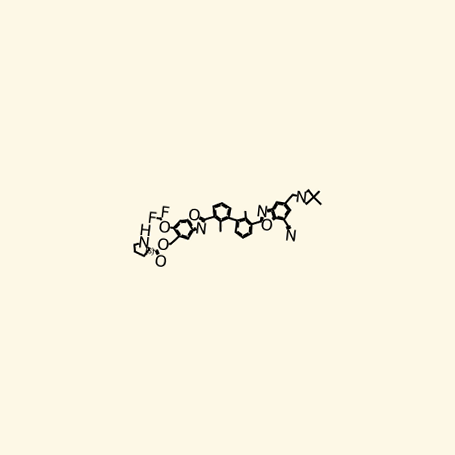 Cc1c(-c2nc3cc(COC(=O)[C@@H]4CCCN4)c(OC(F)F)cc3o2)cccc1-c1cccc(-c2nc3cc(CN4CC(C)(C)C4)cc(C#N)c3o2)c1C